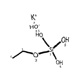 CCO[Si](O)(O)O.[K+].[OH-]